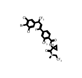 CN(CC(F)(F)F)C(=O)C1(NC(=O)c2ccc(C(F)=CC(c3cc(Cl)c(Br)c(Cl)c3)C(F)(F)F)cc2C(F)(F)F)CC1